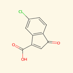 O=C(O)C1=CC(=O)c2ccc(Cl)cc21